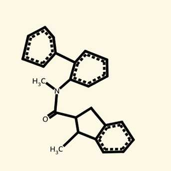 CC1c2ccccc2CC1C(=O)N(C)c1ccccc1-c1ccccc1